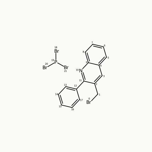 BrCc1cc2ccccc2nc1-c1ccccc1.BrP(Br)Br